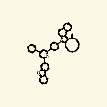 C=C1/C=C\C=C/C/C=C\c2c1c1c3ccccc3ccc1n2-c1ccc(-c2cc(-c3ccccc3)cc(-c3ccc4c(c3)oc3ccccc34)n2)cc1